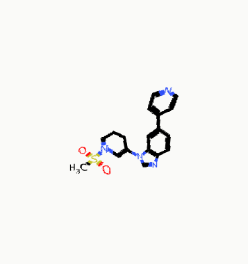 CS(=O)(=O)N1CCCC(n2cnc3ccc(-c4ccncc4)cc32)C1